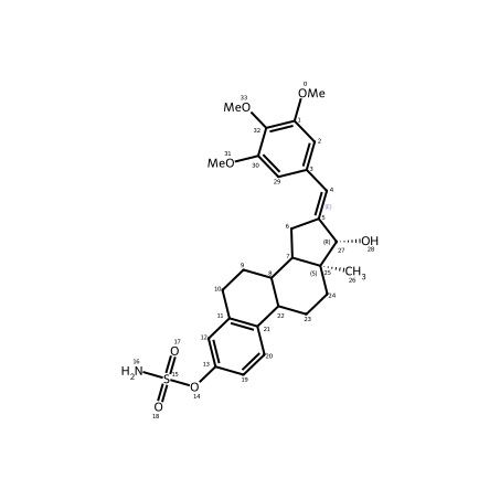 COc1cc(/C=C2\CC3C4CCc5cc(OS(N)(=O)=O)ccc5C4CC[C@]3(C)[C@H]2O)cc(OC)c1OC